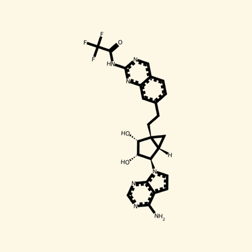 Nc1ncnc2c1ccn2[C@H]1[C@H](O)[C@H](O)[C@]2(CCc3ccc4cnc(NC(=O)C(F)(F)F)nc4c3)C[C@H]12